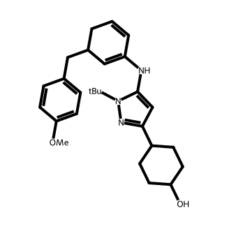 COc1ccc(CC2C=C(Nc3cc(C4CCC(O)CC4)nn3C(C)(C)C)C=CC2)cc1